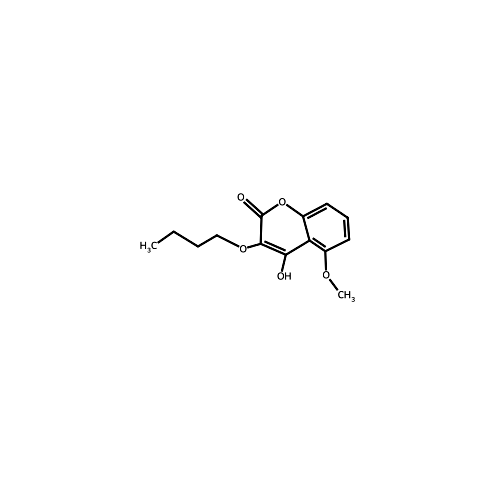 CCCCOc1c(O)c2c(OC)cccc2oc1=O